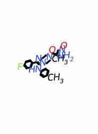 Cc1ccc(Nc2c(-c3ccc(F)cc3)nc3n2CCN(C(=O)[C@](C)(N)CN=O)C3)cc1